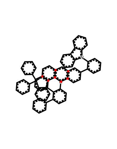 c1ccc(-c2ccccc2-c2c(-c3ccccc3)cccc2N(c2ccc(-c3ccccc3-n3c4ccccc4c4ccccc43)cc2)c2cccc3c2-c2ccccc2C3(c2ccccc2)c2ccccc2)cc1